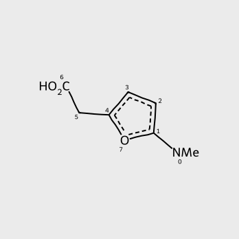 CNc1ccc(CC(=O)O)o1